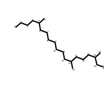 CCCCC(C)CCCCCCCC(C)CCCC(C)CBr